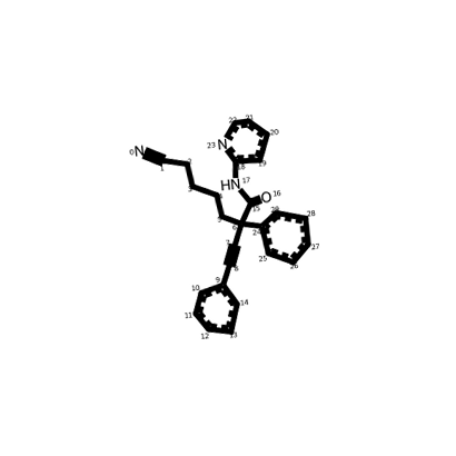 N#CCCCCC(C#Cc1ccccc1)(C(=O)Nc1ccccn1)c1ccccc1